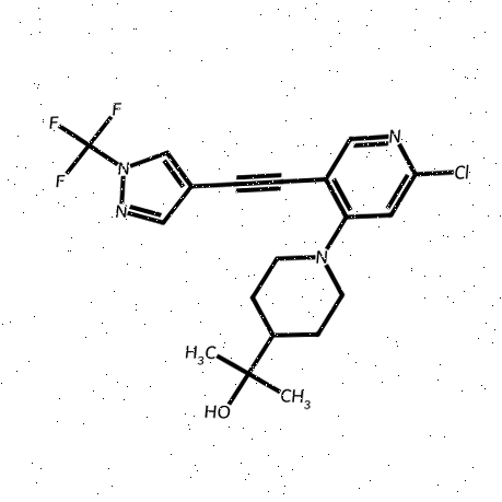 CC(C)(O)C1CCN(c2cc(Cl)ncc2C#Cc2cnn(C(F)(F)F)c2)CC1